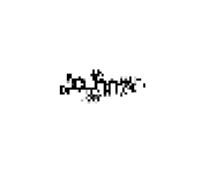 CS(C)(=O)=NCCNc1nonc1-c1noc(=O)n1-c1ccc(F)c(Br)c1